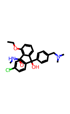 CCOc1cccc(C(O)(c2ccc(Cl)cc2)c2ccc(CN(C)C)cc2)c1C(=O)NC